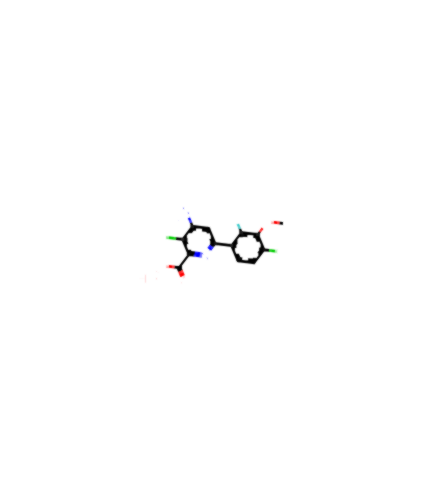 COc1c(Cl)ccc(-c2cc(N)c(Cl)c(C(=O)OO)n2)c1F